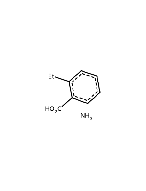 CCc1ccccc1C(=O)O.N